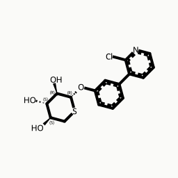 O[C@@H]1[C@@H](O)[C@H](Oc2cccc(-c3cccnc3Cl)c2)SC[C@H]1O